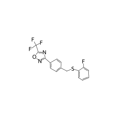 Fc1ccccc1SCc1ccc(-c2noc(C(F)(F)F)n2)cc1